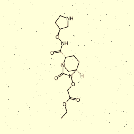 CCOC(=O)CON1C(=O)N2C[C@H]1CC[C@H]2C(=O)NO[C@H]1CCNC1